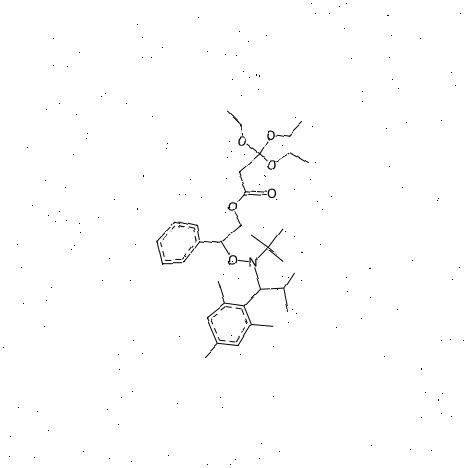 CCOC(CC(=O)OCC(ON(C(c1c(C)cc(C)cc1C)C(C)C)C(C)(C)C)c1ccccc1)(OCC)OCC